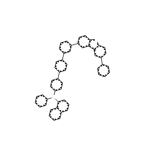 c1ccc(-c2ccc3sc4ccc(-c5cccc(-c6ccc(-c7ccc(N(c8ccccc8)c8cccc9ccccc89)cc7)cc6)c5)cc4c3c2)cc1